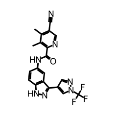 Cc1c(C#N)cnc(C(=O)Nc2ccc3[nH]nc(-c4cnn(C(F)(F)F)c4)c3c2)c1C